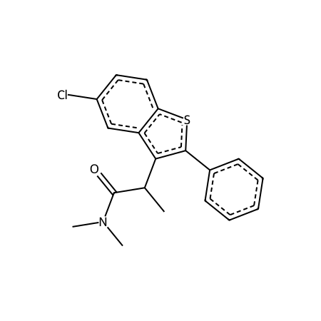 CC(C(=O)N(C)C)c1c(-c2ccccc2)sc2ccc(Cl)cc12